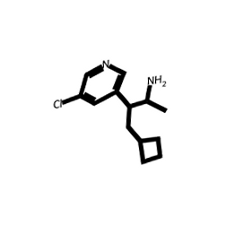 CC(N)C(CC1CCC1)c1cncc(Cl)c1